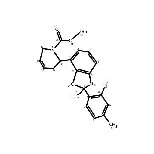 Cc1ccc(C2(C)Oc3cccc(C4CC=CCN4C(=O)OC(C)(C)C)c3O2)c(Cl)c1